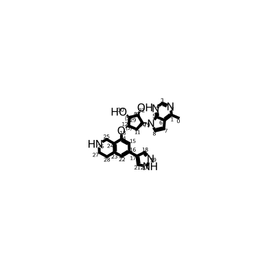 Cc1ncnc2c1ccn2[C@@H]1C[C@H](Oc2cc(-c3cn[nH]c3)cc3c2CNCC3)[C@@H](O)[C@H]1O